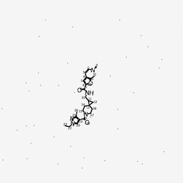 C=N/C=C\c1cc(C(=O)NCC2CC23CCN(C(=O)c2cn(CC)nc2C)CC3)oc1C